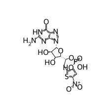 Nc1nc2c(ncn2[C@@H]2O[C@H](C(Cc3ccc([N+](=O)[O-])s3)OP(=O)(O)O)[C@@H](O)[C@H]2O)c(=O)[nH]1